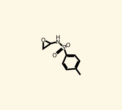 Cc1ccc(S(=O)(=O)NC2CO2)cc1